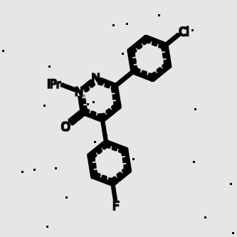 CC(C)n1nc(-c2ccc(Cl)cc2)cc(-c2ccc(F)cc2)c1=O